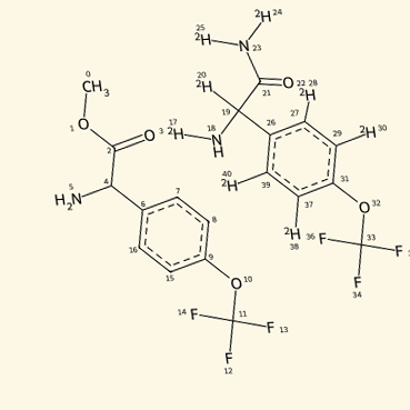 COC(=O)C(N)c1ccc(OC(F)(F)F)cc1.[2H]NC([2H])(C(=O)N([2H])[2H])c1c([2H])c([2H])c(OC(F)(F)F)c([2H])c1[2H]